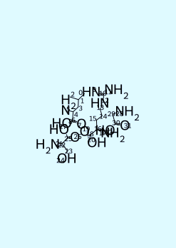 CC(C)CC(N)C(=O)O.N=C(N)NCCCC(N)C(=O)O.NC(CO)C(=O)O.NCC(=O)O